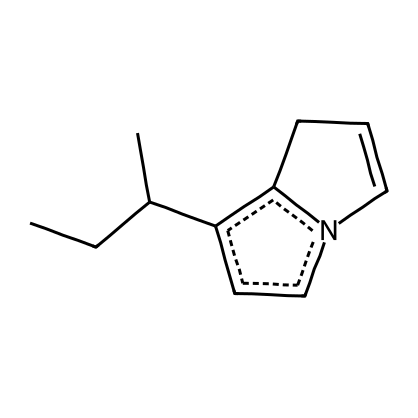 CCC(C)c1ccn2c1CC=C2